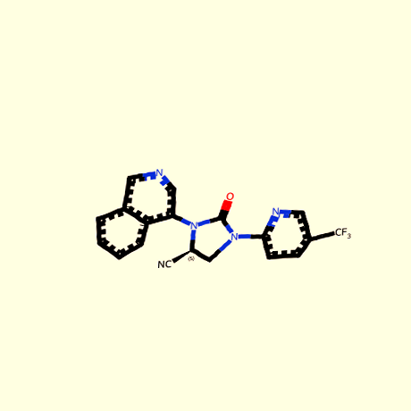 N#C[C@@H]1CN(c2ccc(C(F)(F)F)cn2)C(=O)N1c1cncc2ccccc12